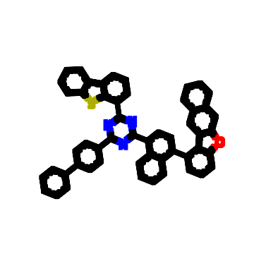 c1ccc(-c2ccc(-c3nc(-c4ccc(-c5cccc6oc7cc8ccccc8cc7c56)c5ccccc45)nc(-c4cccc5c4sc4ccccc45)n3)cc2)cc1